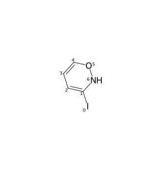 IC1=CC=CON1